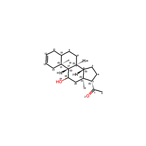 CC(=O)[C@H]1CC[C@H]2[C@@H]3CCC4CC=CC[C@]4(C)[C@H]3C(O)C[C@]12C